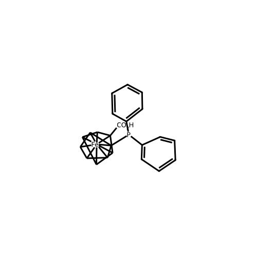 O=C(O)[C]12[CH]3[CH]4[CH]5[CH]1[Fe]45321678[CH]2[CH]1[CH]6[C]7(P(c1ccccc1)c1ccccc1)[CH]28